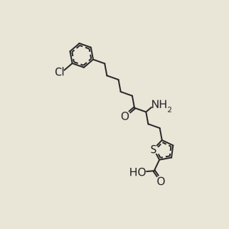 NC(CCc1ccc(C(=O)O)s1)C(=O)CCCCCc1cccc(Cl)c1